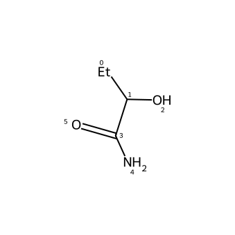 CCC(O)C(N)=O